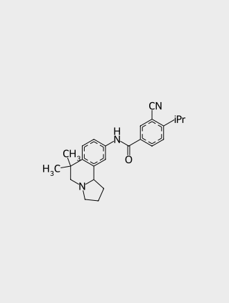 CC(C)c1ccc(C(=O)Nc2ccc3c(c2)C2CCCN2CC3(C)C)cc1C#N